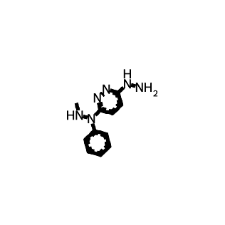 CNN(c1ccccc1)c1ccc(NN)nn1